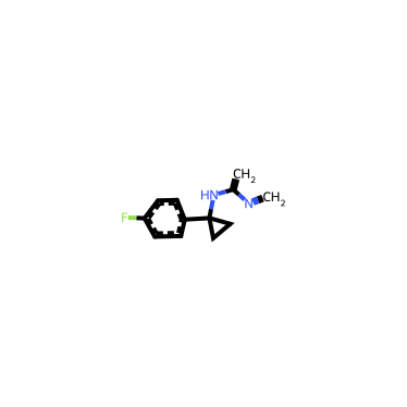 C=NC(=C)NC1(c2ccc(F)cc2)CC1